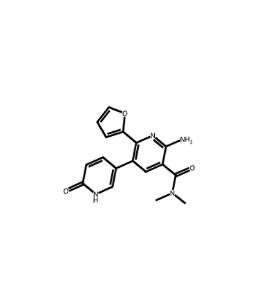 CN(C)C(=O)c1cc(-c2ccc(=O)[nH]c2)c(-c2ccco2)nc1N